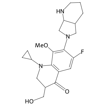 COc1c(N2CC3CCCNC3C2)c(F)cc2c1N(C1CC1)CC(CO)C2=O